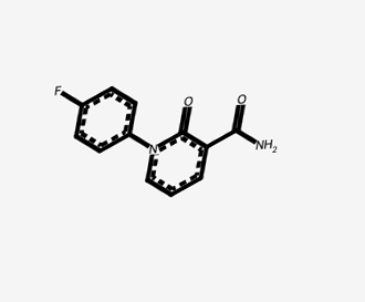 NC(=O)c1cccn(-c2ccc(F)cc2)c1=O